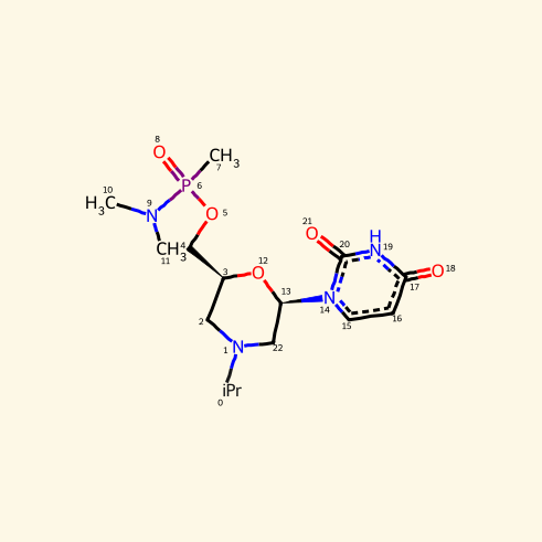 CC(C)N1C[C@@H](COP(C)(=O)N(C)C)O[C@@H](n2ccc(=O)[nH]c2=O)C1